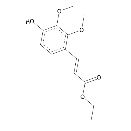 CCOC(=O)C=Cc1ccc(O)c(OC)c1OC